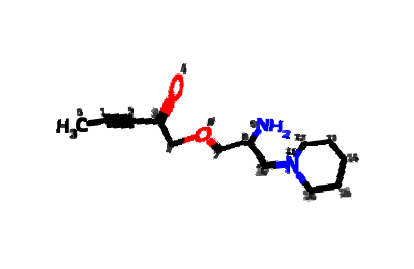 CC#CC(=O)COCC(N)CN1CCCCC1